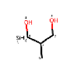 CC(CO)CO.[SiH4]